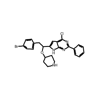 Clc1nc(-c2ccccc2)nc2[nH]c(C(Cc3ccc(Br)cc3)OC3CCNCC3)cc12